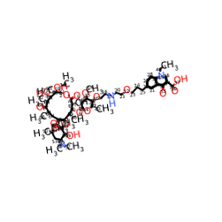 CC[C@@H]1OC(=O)[C@H](C)[C@H](O[C@@H]2C[C@H](OC)[C@H](OCCNCCOCCCc3ccc4c(c3)c(=O)c(C(=O)O)cn4CC)[C@H](C)O2)[C@@H](C)[C@H](O[C@H]2O[C@@H](C)C[C@@H](N(C)C)[C@H]2O)[C@](C)(OC)C[C@H](C)C(=O)[C@H](C)[C@H](O)[C@@]1(C)O